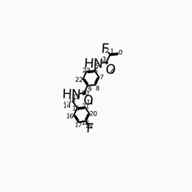 C=C(F)C(=O)Nc1ccc(C(=O)N[C@@H](C)c2ccc(F)cc2)cc1